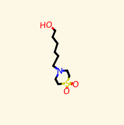 O=S1(=O)CCN(CCCCCCO)CC1